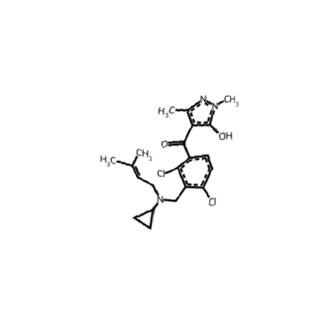 CC(C)=CCN(Cc1c(Cl)ccc(C(=O)c2c(C)nn(C)c2O)c1Cl)C1CC1